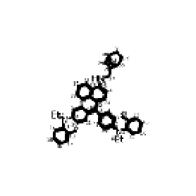 CCN(c1ccc(C(=C2C=CC(=[N+](CC)c3ccccc3C)C=C2)c2ccc(NCC3CC4CCC3C4)c3ccccc23)cc1)c1ccccc1C